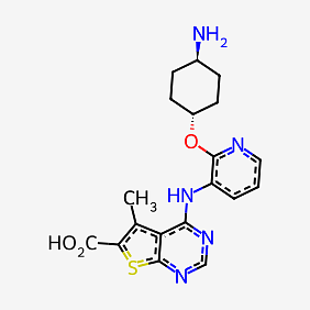 Cc1c(C(=O)O)sc2ncnc(Nc3cccnc3O[C@H]3CC[C@H](N)CC3)c12